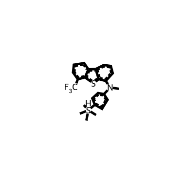 CN(c1ccc([SH](C)(C)(C)C)cc1)c1cccc2c1sc1c(C(F)(F)F)cccc12